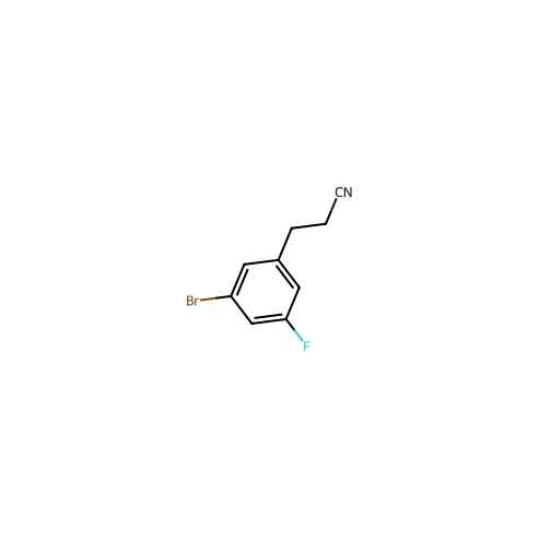 N#CCCc1cc(F)cc(Br)c1